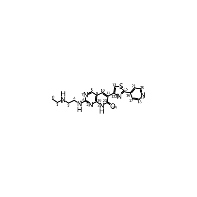 CCNCCNc1ncc2cc(-c3csc(-c4ccncc4)n3)c(=O)[nH]c2n1